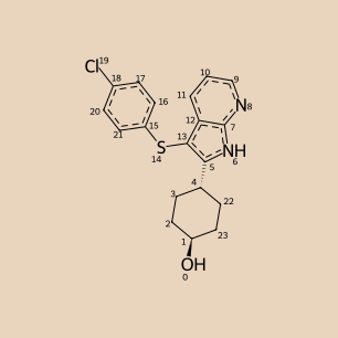 O[C@H]1CC[C@H](c2[nH]c3ncccc3c2Sc2ccc(Cl)cc2)CC1